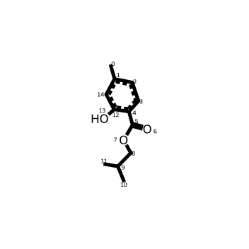 Cc1ccc(C(=O)OCC(C)C)c(O)c1